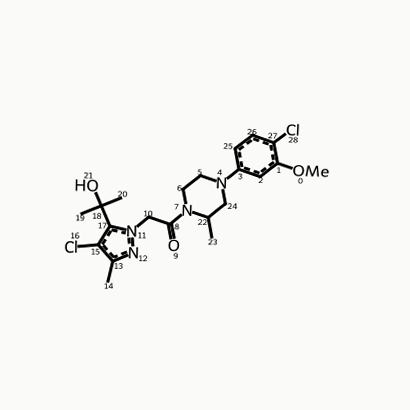 COc1cc(N2CCN(C(=O)Cn3nc(C)c(Cl)c3C(C)(C)O)C(C)C2)ccc1Cl